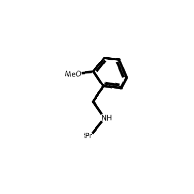 COc1ccccc1CNC(C)C